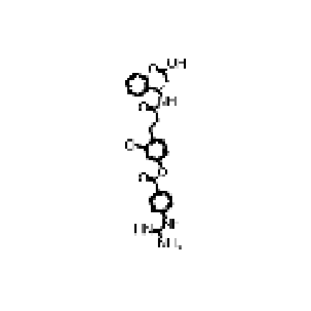 N=C(N)Nc1ccc(C(=O)Oc2ccc(CCC(=O)N[C@@H](CC(=O)O)c3ccccc3)c(Cl)c2)cc1